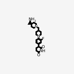 NC1CC12CCN(CC1CCN(c3ccc(C4CCC(=O)NC4=O)cc3F)CC1)CC2